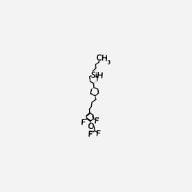 CCCCC[Si@H]1CC[C@H]([C@H]2CC[C@H](CCCCc3cc(F)c(OCC(F)F)c(F)c3)CC2)CC1